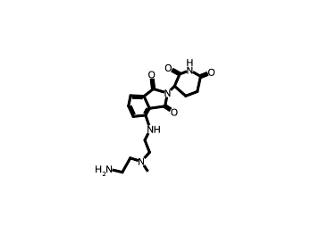 CN(CCN)CCNc1cccc2c1C(=O)N(C1CCC(=O)NC1=O)C2=O